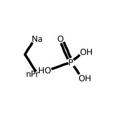 CCC[CH2][Na].O=P(O)(O)O